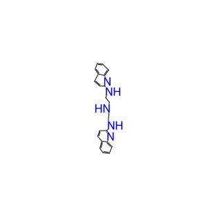 c1ccc2nc(NCCNCCNc3ccc4ccccc4n3)ccc2c1